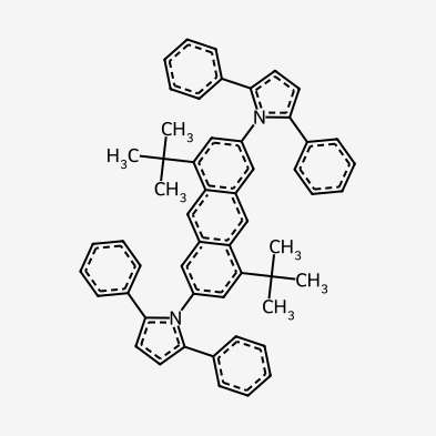 CC(C)(C)c1cc(-n2c(-c3ccccc3)ccc2-c2ccccc2)cc2cc3c(C(C)(C)C)cc(-n4c(-c5ccccc5)ccc4-c4ccccc4)cc3cc12